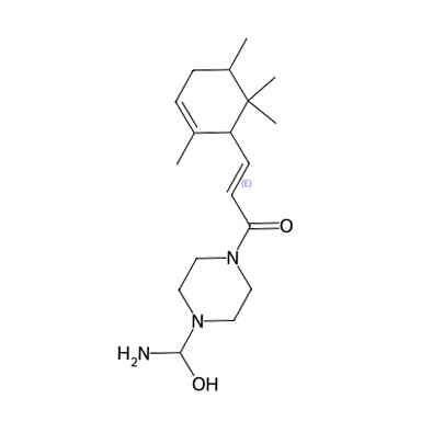 CC1=CCC(C)C(C)(C)C1/C=C/C(=O)N1CCN(C(N)O)CC1